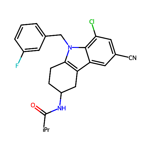 CC(C)C(=O)NC1CCc2c(c3cc(C#N)cc(Cl)c3n2Cc2cccc(F)c2)C1